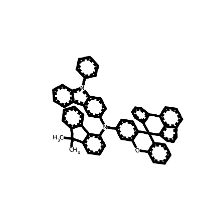 CC1(C)c2ccccc2-c2c(N(c3ccc4c(c3)Oc3ccccc3C43c4ccccc4-c4cccc5cccc3c45)c3ccc4c(c3)c3ccccc3n4-c3ccccc3)cccc21